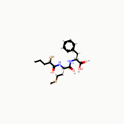 CCCC(S)C(=O)N[C@@H](CCSC)C(=O)N[C@@H](Cc1ccccc1)C(=O)O